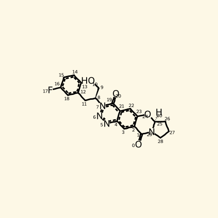 O=C1c2cc3nnn([C@H](CO)Cc4cccc(F)c4)c(=O)c3cc2O[C@H]2CCCN12